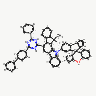 CC1(C)c2ccccc2-c2c(-c3nc(-c4ccccc4)nc(-c4ccc(-c5ccccc5)cc4)n3)cc3c4ccccc4n(-c4ccc5c(c4)C4(c6ccccc6Oc6ccccc64)c4ccccc4-5)c3c21